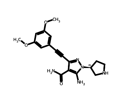 COc1cc(C#Cc2nn([C@H]3CCNC3)c(N)c2C(N)=O)cc(OC)c1